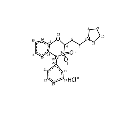 Cl.O=S1(=O)C(CCN2CCCC2)Oc2ccccc2N1c1ccccc1